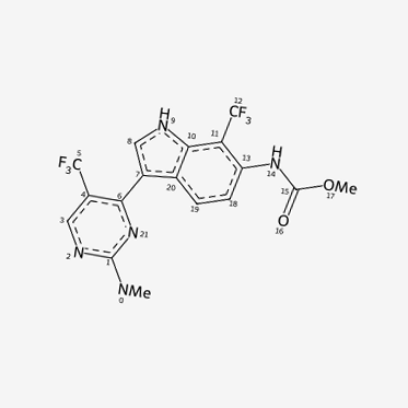 CNc1ncc(C(F)(F)F)c(-c2c[nH]c3c(C(F)(F)F)c(NC(=O)OC)ccc23)n1